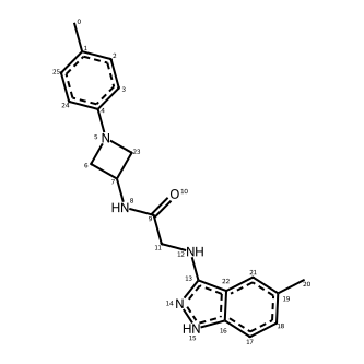 Cc1ccc(N2CC(NC(=O)CNc3n[nH]c4ccc(C)cc34)C2)cc1